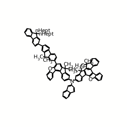 CCCCCCCC1(CCCCCCC)c2ccccc2-c2ccc(-c3ccc4c(c3)C(C)(C)c3cc(-c5cc6c(c7c5oc5ccccc57)-c5ccc(N(c7ccc8c(c7)C(C)(C)c7c9c(c%10c(oc%11ccccc%11%10)c7-8)-c7ccccc7C9(C)C)c7ccc8ccccc8c7)cc5C6(C)C)ccc3-4)cc21